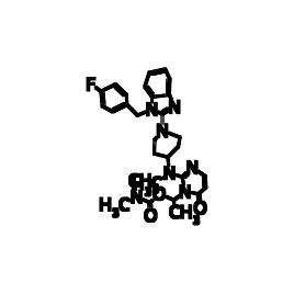 CC(OC(=O)N(C)C)n1c(N(C)C2CCN(c3nc4ccccc4n3Cc3ccc(F)cc3)CC2)nccc1=O